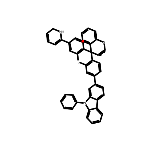 C1=CCNC(c2ccc3c(c2)Sc2cc(-c4ccc5c6ccccc6n(-c6ccccc6)c5c4)ccc2C32c3ccccc3Sc3ccccc32)=C1